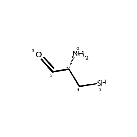 N[C@@H](C=O)CS